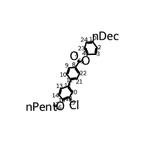 CCCCCCCCCCc1ccc(OC(=O)c2ccc(-c3ccc(OCCCCC)c(Cl)c3)cc2)cc1